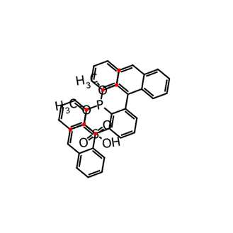 COc1ccc2ccccc2c1-c1cccc(-c2c(OC)ccc3ccccc23)c1P(c1ccccc1)c1ccccc1S(=O)(=O)O